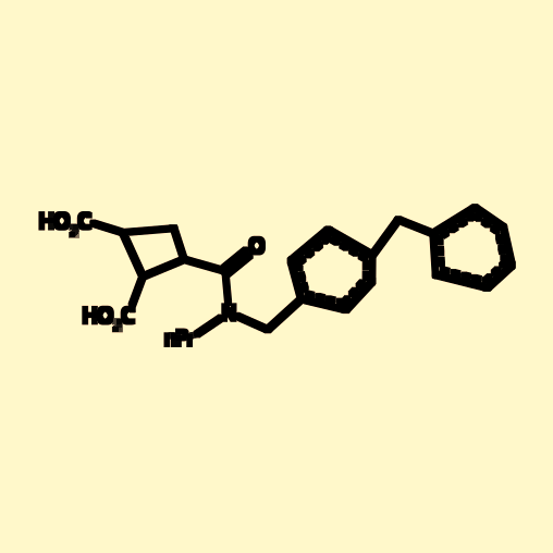 CCCN(Cc1ccc(Cc2ccccc2)cc1)C(=O)C1CC(C(=O)O)C1C(=O)O